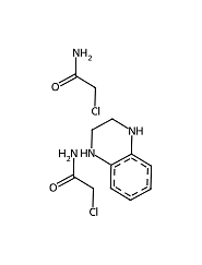 NC(=O)CCl.NC(=O)CCl.c1ccc2c(c1)NCCN2